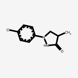 CC1CN(c2ccc(Cl)cc2)NC1=O